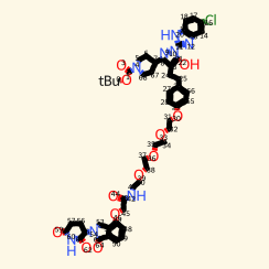 CC(C)(C)OC(=O)N1CCC(c2nn(-c3nc4cc(Cl)ccc4[nH]3)c(O)c2CCc2ccc(OCCOCCOCCOCCNC(=O)COc3cccc4c3CN(C3CCC(=O)NC3=O)C4=O)cc2)CC1